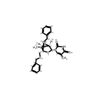 Cc1cn([C@@H]2O[C@@]3(COCc4ccccc4)[C@@H](C)N[C@@H]2[C@@H]3OCc2ccccc2)c(=O)[nH]c1=O